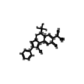 CC(C)(C)[C@@H]1Cn2nc(-c3ccccc3)c(Cl)c2-c2cc(=O)c(C(=O)O)cn21